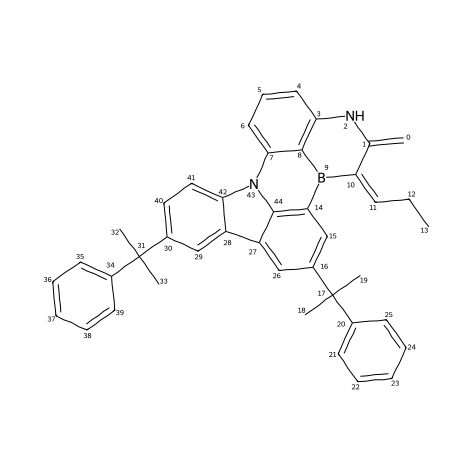 C=C1Nc2cccc3c2B(/C1=C/CC)c1cc(C(C)(C)c2ccccc2)cc2c4cc(C(C)(C)c5ccccc5)ccc4n-3c12